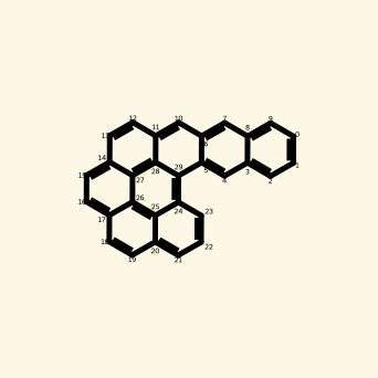 c1ccc2cc3c(cc2c1)cc1ccc2ccc4ccc5cccc6c5c4c2c1c36